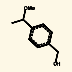 COC(C)c1ccc(CO)cc1